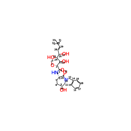 CO[C@@H](C(=O)N[C@H]1CC[C@@H](O)CN(Cc2ccccc2)C1=O)[C@H](O)[C@@H](O)[C@H](O)/C=C/C(C)(C)C